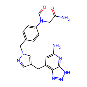 NC(=O)CN(C=O)c1ccc(Cn2cc(Cc3cc(N)nc4[nH]nnc34)cn2)cc1